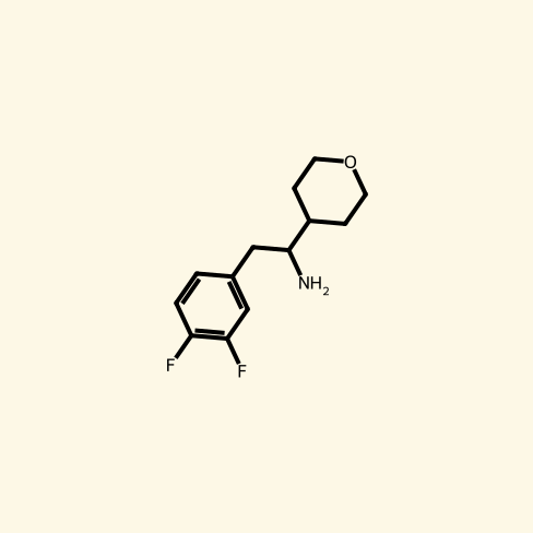 NC(Cc1ccc(F)c(F)c1)C1CCOCC1